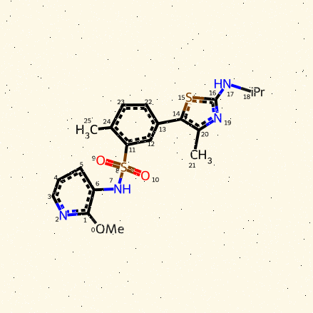 COc1ncccc1NS(=O)(=O)c1cc(-c2sc(NC(C)C)nc2C)ccc1C